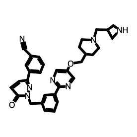 N#Cc1cccc(-c2ccc(=O)n(Cc3cccc(-c4ncc(OCC5CCN(CC6CNC6)CC5)cn4)c3)n2)c1